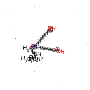 CC(C=CC1=C(C)CCCC1(C)C)=CC=CC(C)=CC(=O)N(CCCCCCCCCCCCCCCC(=O)O)CCCCCCCCCCCCCCCC(=O)O